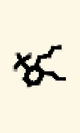 CCCCc1c(CCC)cccc1C(C)(C)C